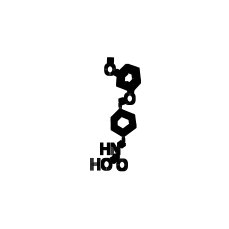 COc1cccc(OC[C@H]2CC[C@@H](CNC(=O)O)CC2)c1